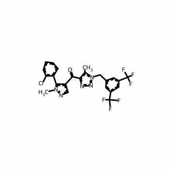 Cc1c(C(=O)c2cnn(C)c2-c2ccccc2Cl)nnn1Cc1cc(C(F)(F)F)cc(C(F)(F)F)c1